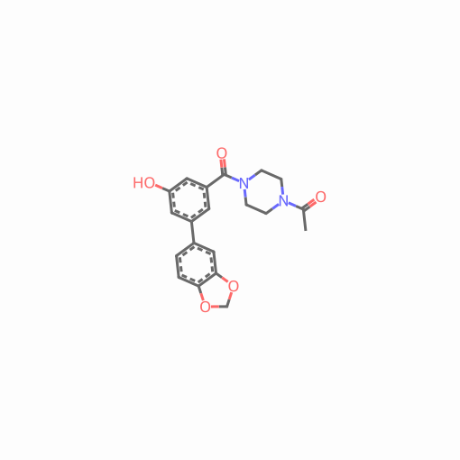 CC(=O)N1CCN(C(=O)c2cc(O)cc(-c3ccc4c(c3)OCO4)c2)CC1